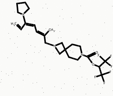 C=C/C(=C\C=C(/C)CN1CC2(CCN(C(=O)OC(C(F)(F)F)C(F)(F)F)CC2)C1)N1CCCC1